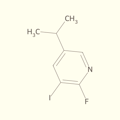 CC(C)c1cnc(F)c(I)c1